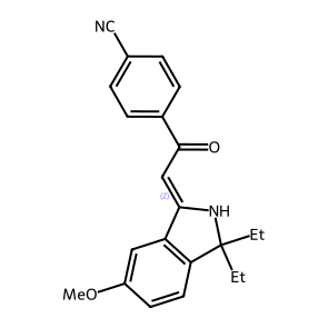 CCC1(CC)N/C(=C\C(=O)c2ccc(C#N)cc2)c2cc(OC)ccc21